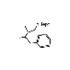 CCCCCCCCC(C)[C](C)Cc1ccccc1